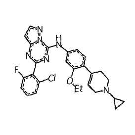 CCOc1cc(Nc2nc(-c3c(F)cccc3Cl)nc3ccnn23)ccc1C1=CCN(C2CC2)CC1